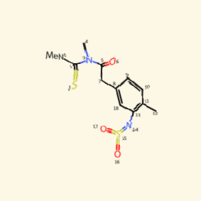 CNC(=S)N(C)C(=O)Cc1ccc(C)c(N=S(=O)=O)c1